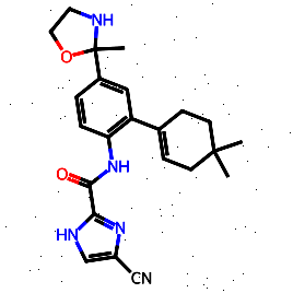 CC1(C)CC=C(c2cc(C3(C)NCCO3)ccc2NC(=O)c2nc(C#N)c[nH]2)CC1